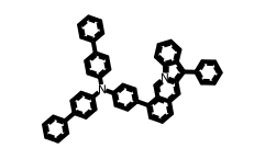 c1ccc(-c2ccc(N(c3ccc(-c4ccccc4)cc3)c3ccc(-c4cccc5cc6c(-c7ccccc7)c7ccccc7n6cc45)cc3)cc2)cc1